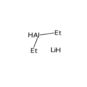 C[CH2][AlH][CH2]C.[LiH]